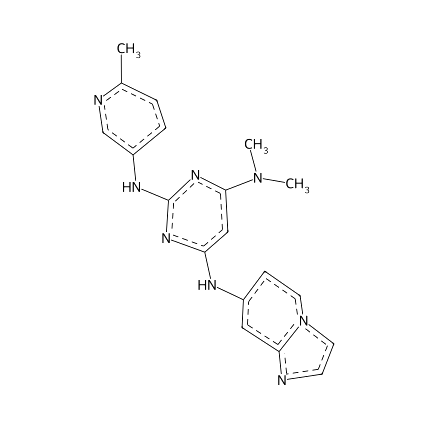 Cc1ccc(Nc2nc(Nc3ccn4ccnc4c3)cc(N(C)C)n2)cn1